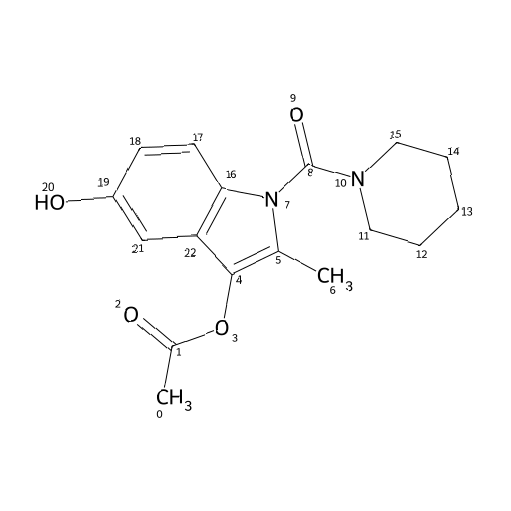 CC(=O)Oc1c(C)n(C(=O)N2CCCCC2)c2ccc(O)cc12